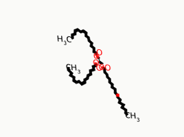 CCCC/C=C\C/C=C\CCCCCCCC(=O)OC[C@H](COC(=O)CCCCCCCCCCCCCCCCCC)OC(=O)CCCCCCC/C=C\C/C=C\CCCCC